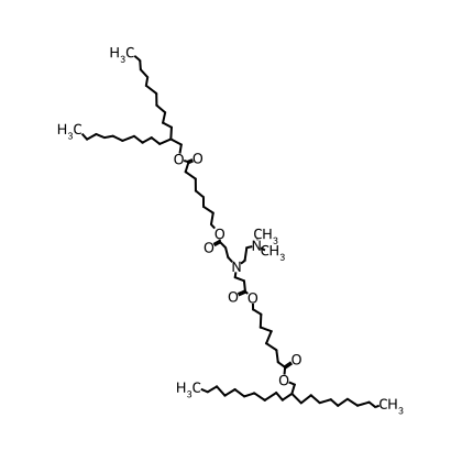 CCCCCCCCCCC(CCCCCCCCCC)COC(=O)CCCCCCCOC(=O)CCN(CCC(=O)OCCCCCCCC(=O)OCC(CCCCCCCCCC)CCCCCCCCCC)CCN(C)C